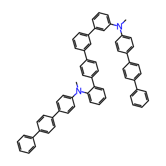 CN(c1ccc(-c2ccc(-c3ccccc3)cc2)cc1)c1cccc(-c2cccc(-c3ccc(-c4ccccc4N(C)c4ccc(-c5ccc(-c6ccccc6)cc5)cc4)cc3)c2)c1